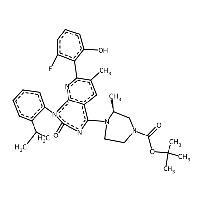 Cc1cc2c(N3CCN(C(=O)OC(C)(C)C)C[C@@H]3C)nc(=O)n(-c3ccccc3C(C)C)c2nc1-c1c(O)cccc1F